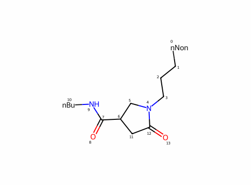 CCCCCCCCCCCCN1CC(C(=O)NCCCC)CC1=O